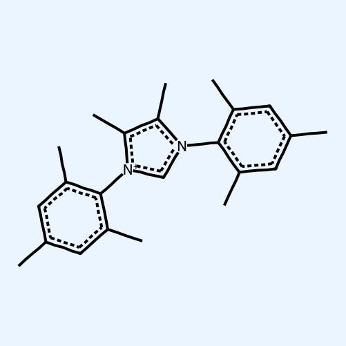 Cc1cc(C)c(-n2c[n+](-c3c(C)cc(C)cc3C)c(C)c2C)c(C)c1